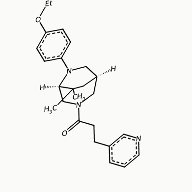 CCOc1ccc(N2C[C@H]3CN(C(=O)CCc4cccnc4)C[C@@H]2C(C)(C)C3)cc1